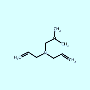 C=CCN(CC=C)CN(C)C